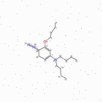 CCCCOC1=CC(N(CCCC)CCCC)=CCC1=[N+]=[N-]